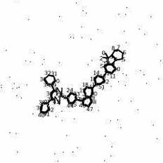 CC1(C)C2=C(CCC=C2)c2ccc(-c3ccc(-c4ccc5c(-c6ccc(-c7nc(C8=CCCC=C8)cc(-c8ccccc8)n7)cc6)cccc5c4)cc3)cc21